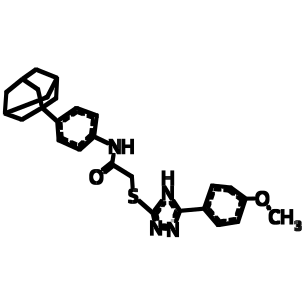 COc1ccc(-c2nnc(SCC(=O)Nc3ccc(C45CC6CC(CC(C6)C4)C5)cc3)[nH]2)cc1